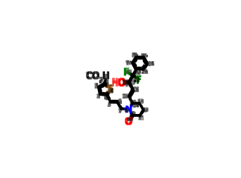 O=C(O)c1ccc(C=CCN2C(=O)CCC[C@@H]2C=C[C@@H](O)C(F)(F)c2ccccc2)s1